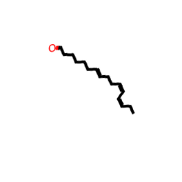 CC/C=C\C=C/CC/C=C/CCCCCC=O